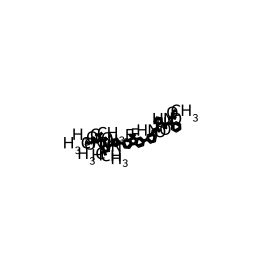 COC(=O)NC(C(=O)N1CC(C)(C)CC1c1ncc(-c2ccc3c(c2)C(F)(F)c2cc(-c4cccc(NC(=O)[C@@H]5CCCN5C(=O)[C@@H](NC(=O)OC)c5ccccc5)c4)ccc2-3)[nH]1)C(C)C